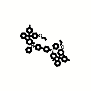 C=CCOC1=CC=C(C2(c3ccc(C)cc3)c3ccccc3C3(C)C=CC(N(c4ccccc4)c4ccc(-c5ccc(N(c6ccccc6)C6(C)CCC7=C(C6)C(c6ccc(C)cc6)(c6ccc(OCC=C)cc6)c6ccccc67)cc5)cc4)=CC32)C(C)C1